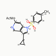 CC(=O)Nc1cc2c(cn1)c(C1CC1)cn2S(=O)(=O)c1ccc(C)cc1